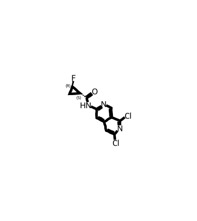 O=C(Nc1cc2cc(Cl)nc(Cl)c2cn1)[C@@H]1C[C@H]1F